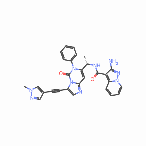 C[C@H](NC(=O)c1c(N)nn2ccccc12)c1cc2ncc(C#Cc3cnn(C)c3)n2c(=O)n1-c1ccccc1